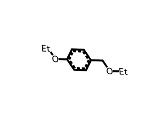 [CH2]COCc1ccc(OCC)cc1